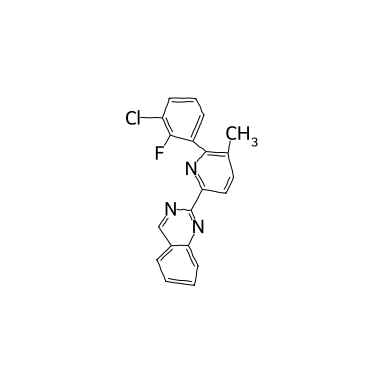 Cc1ccc(-c2ncc3ccccc3n2)nc1-c1cccc(Cl)c1F